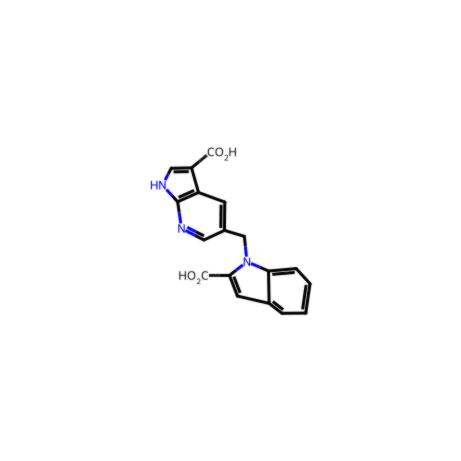 O=C(O)c1c[nH]c2ncc(Cn3c(C(=O)O)cc4ccccc43)cc12